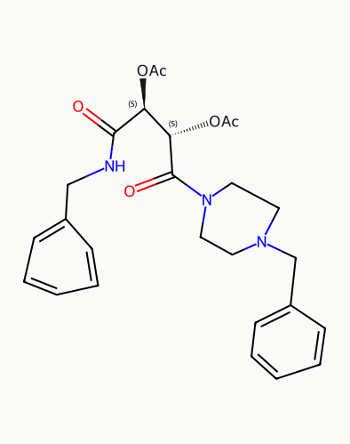 CC(=O)O[C@H](C(=O)NCc1ccccc1)[C@H](OC(C)=O)C(=O)N1CCN(Cc2ccccc2)CC1